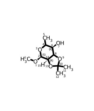 CO[C@H]1OC(C)[C@@H](O)C2OC(C)(C)O[C@H]21